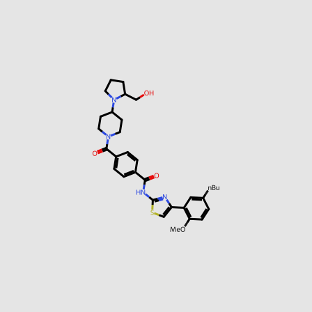 CCCCc1ccc(OC)c(-c2csc(NC(=O)c3ccc(C(=O)N4CCC(N5CCCC5CO)CC4)cc3)n2)c1